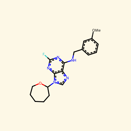 COc1cccc(CNc2nc(F)nc3c2ncn3C2CCCCCO2)c1